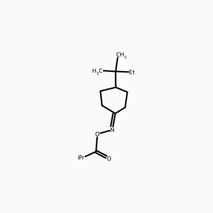 CCC(C)(C)C1CCC(=NOC(=O)C(C)C)CC1